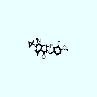 C=N/C(NC1(C)CC1)=C(\C)C(C(=O)NCc1ccc(OC)c(F)c1F)=C(C)C